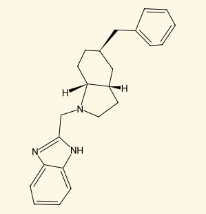 c1ccc(C[C@@H]2CC[C@@H]3[C@@H](CCN3Cc3nc4ccccc4[nH]3)C2)cc1